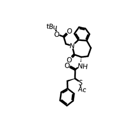 CC(=O)S[C@@H](Cc1ccccc1)C(=O)N[C@H]1CCc2ccccc2N(CC(=O)OC(C)(C)C)C1=O